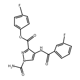 NC(=O)n1cc(NC(=O)c2cccc(F)c2)c(C(=O)Oc2ccc(F)cc2)n1